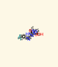 CCCn1c(N2CCCC2C(=O)O)nc2nc(-c3cnn(Cc4cccc(C(F)(F)F)c4)c3)[nH]c2c1=O